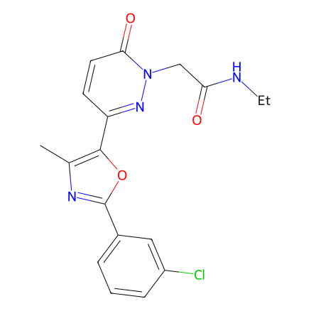 CCNC(=O)Cn1nc(-c2oc(-c3cccc(Cl)c3)nc2C)ccc1=O